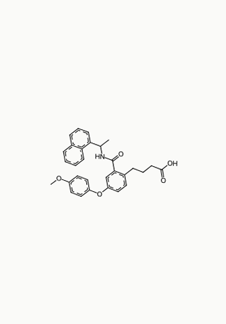 COc1ccc(Oc2ccc(CCCC(=O)O)c(C(=O)NC(C)c3cccc4ccccc34)c2)cc1